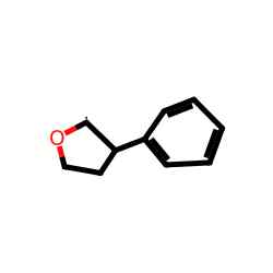 [CH]1OCCC1c1ccccc1